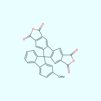 COc1ccc2c(c1)C1(c3ccccc3-2)c2cc3c(cc2-c2cc4c(cc21)C(=O)OC4=O)C(=O)OC3=O